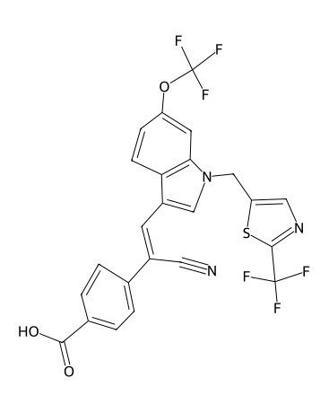 N#C/C(=C\c1cn(Cc2cnc(C(F)(F)F)s2)c2cc(OC(F)(F)F)ccc12)c1ccc(C(=O)O)cc1